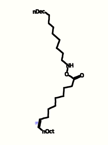 CCCCCCCC/C=C\CCCCCCCC(=O)ONCCCCCCCCCCCCCCCCCC